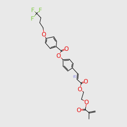 C=C(C)C(=O)OCCOC(=O)/C=C/c1ccc(OC(=O)c2ccc(OCCCC(F)(F)F)cc2)cc1